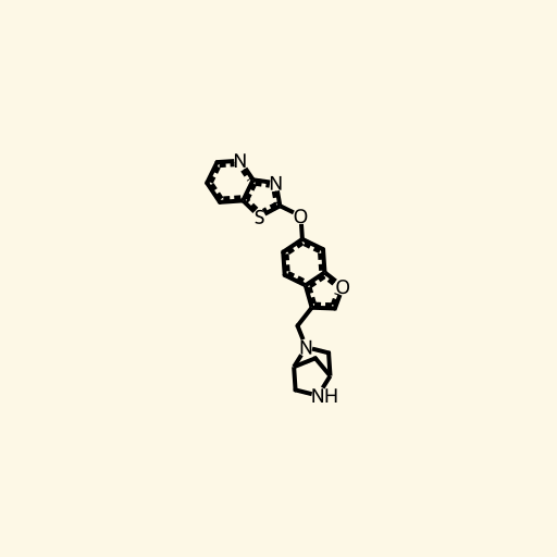 c1cnc2nc(Oc3ccc4c(CN5CC6CC5CN6)coc4c3)sc2c1